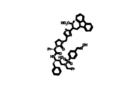 CC(C)CN(C[C@@H](O)[C@H](Cc1ccccc1)NC(=O)[C@H](C(C)C)N1CCN(Cc2csc(C(CC3c4ccccc4-c4ccccc43)N(C)C(=O)O)n2)C1=O)S(=O)(=O)c1ccc(C=NO)cc1